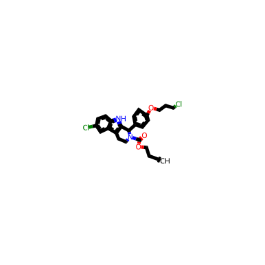 C#CCCOC(=O)N1CCc2c([nH]c3ccc(Cl)cc23)C1c1ccc(OCCCCl)cc1